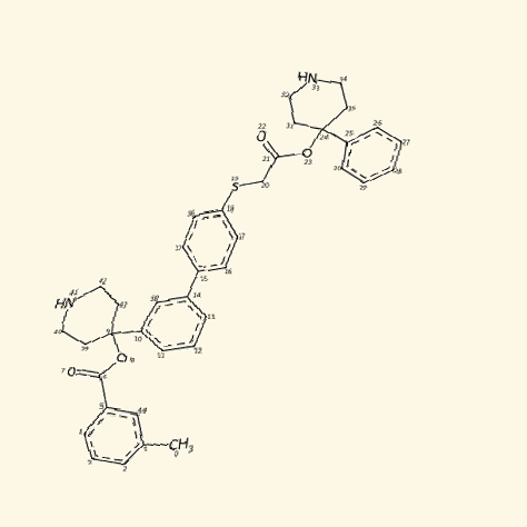 Cc1cccc(C(=O)OC2(c3cccc(-c4ccc(SCC(=O)OC5(c6ccccc6)CCNCC5)cc4)c3)CCNCC2)c1